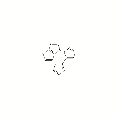 C1=CCC(C2=CC=CC2)=C1.c1cc2sccc2s1